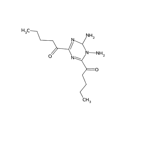 CCCCC(=O)C1=NC(N)N(N)C(C(=O)CCCC)=N1